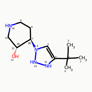 CC(C)(C)C1=CN([C@@H]2CCNC[C@H]2O)NN1